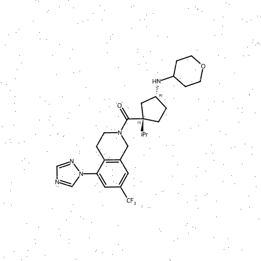 CC(C)[C@]1(C(=O)N2CCc3c(cc(C(F)(F)F)cc3-n3cncn3)C2)CC[C@@H](NC2CCOCC2)C1